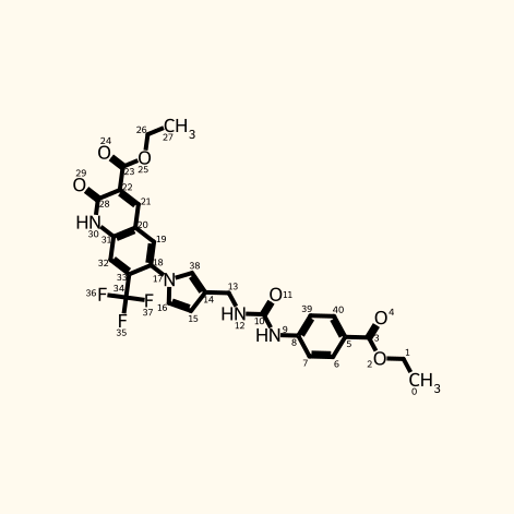 CCOC(=O)c1ccc(NC(=O)NCc2ccn(-c3cc4cc(C(=O)OCC)c(=O)[nH]c4cc3C(F)(F)F)c2)cc1